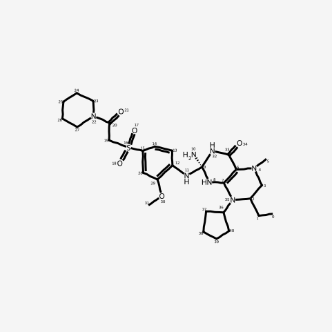 CCC1CN(C)C2=C(N[C@@](N)(Nc3ccc(S(=O)(=O)CC(=O)N4CCCCC4)cc3OC)NC2=O)N1C1CCCC1